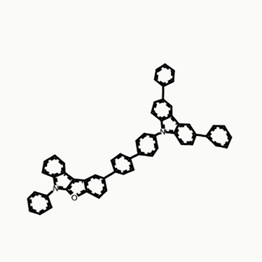 c1ccc(-c2ccc3c(c2)c2cc(-c4ccccc4)ccc2n3-c2ccc(-c3ccc(-c4ccc5oc6c(c5c4)c4ccccc4n6-c4ccccc4)cc3)cc2)cc1